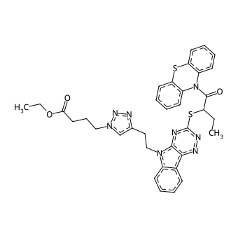 CCOC(=O)CCCn1cc(CCn2c3ccccc3c3nnc(SC(CC)C(=O)N4c5ccccc5Sc5ccccc54)nc32)nn1